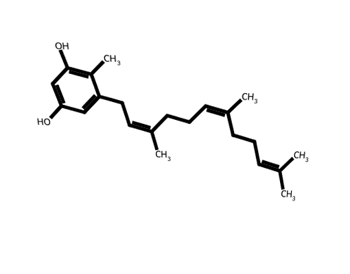 CC(C)=CCCC(C)=CCCC(C)=CCc1cc(O)cc(O)c1C